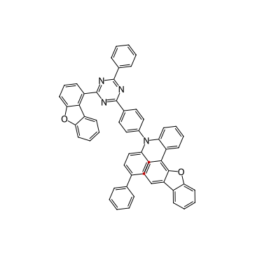 c1ccc(-c2ccc(N(c3ccc(-c4nc(-c5ccccc5)nc(-c5cccc6oc7ccccc7c56)n4)cc3)c3ccccc3-c3cccc4c3oc3ccccc34)cc2)cc1